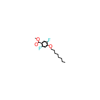 CCCCCCCCOc1cc(F)c(C(=O)OC)cc1F